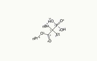 CCCCC(CC)(C(=O)OCCC)P(=O)(O)O